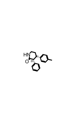 Cc1ccc([C@H]2CCNC(=O)[C@H]2c2ccccc2)cc1